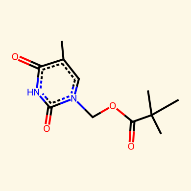 Cc1cn(COC(=O)C(C)(C)C)c(=O)[nH]c1=O